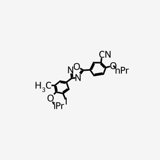 CCCOc1ccc(-c2nc(-c3cc(C)c(OC(C)C)c(I)c3)no2)cc1C#N